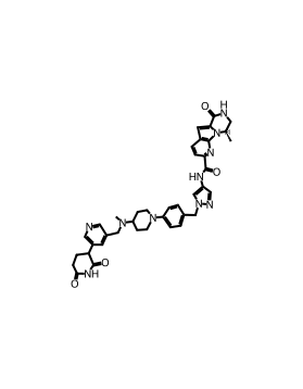 C[C@@H]1CNC(=O)c2cc3ccc(C(=O)Nc4cnn(Cc5ccc(N6CCC(N(C)Cc7cncc(C8CCC(=O)NC8=O)c7)CC6)cc5)c4)nc3n21